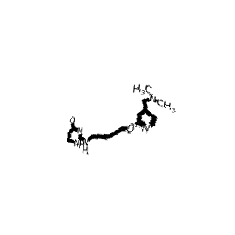 CN(C)Cc1ccnc(OCCCNc2nc(=O)cc[nH]2)c1